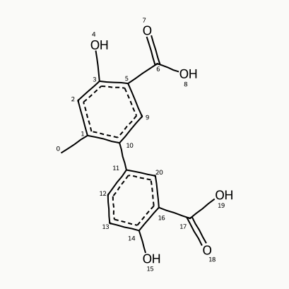 Cc1cc(O)c(C(=O)O)cc1-c1ccc(O)c(C(=O)O)c1